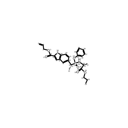 C=CCOC(=O)c1cc2cc([C@@H](F)P(=O)(N[C@@H](C)C(=O)OCCC)Oc3ccccc3)ccc2s1